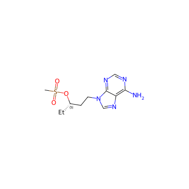 CC[C@@H](CCn1cnc2c(N)ncnc21)OS(C)(=O)=O